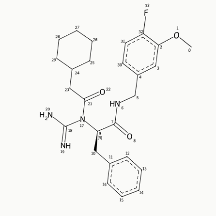 COc1cc(CNC(=O)[C@@H](Cc2ccccc2)N(C(=N)N)C(=O)CC2CCCCC2)ccc1F